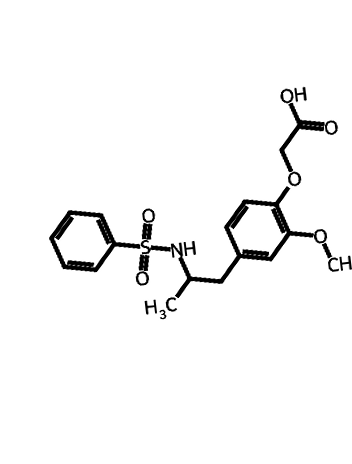 COc1cc(CC(C)NS(=O)(=O)c2ccccc2)ccc1OCC(=O)O